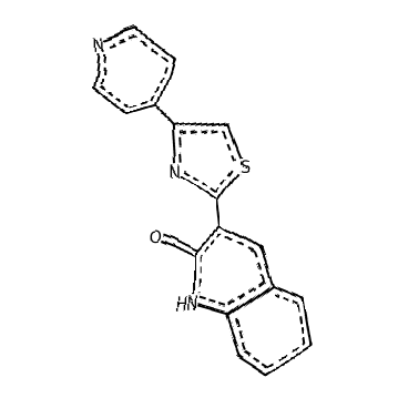 O=c1[nH]c2ccccc2cc1-c1nc(-c2ccncc2)cs1